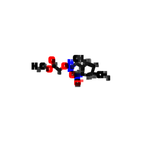 COC(=O)CONC(C)c1ccc(C)cc1[N+](=O)[O-]